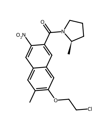 Cc1cc2cc([N+](=O)[O-])c(C(=O)N3CCC[C@H]3C)cc2cc1OCCCl